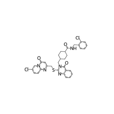 O=C(NCc1ccccc1Cl)C1CCC(Cn2c(SCc3cc(=O)n4cc(Cl)ccc4n3)nc3ccccc3c2=O)CC1